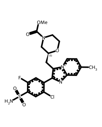 COC(=O)N1CCO[C@@H](Cc2c(-c3cc(F)c(S(N)(=O)=O)cc3Cl)nc3cc(C)ccn23)C1